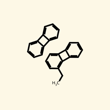 CCc1cccc2c1-c1ccccc1-2.c1ccc2c(c1)-c1ccccc1-2